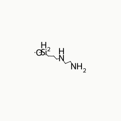 NCCNCCC[SiH2][O]